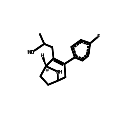 CC(O)CC1=C(c2ccc(F)cc2)CC2CC[C@H]1N2